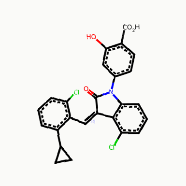 O=C(O)c1ccc(N2C(=O)/C(=C\c3c(Cl)cccc3C3CC3)c3c(Cl)cccc32)cc1O